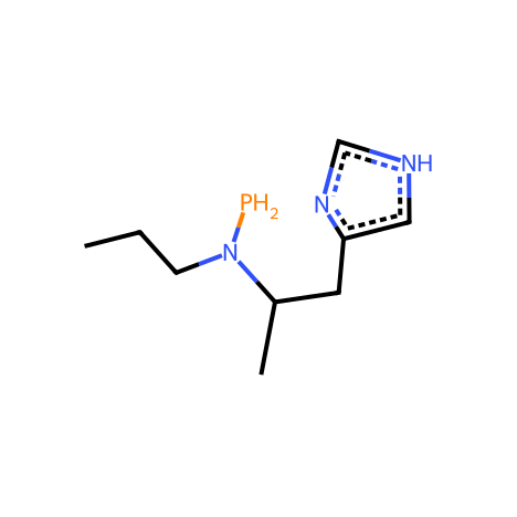 CCCN(P)C(C)Cc1c[nH]cn1